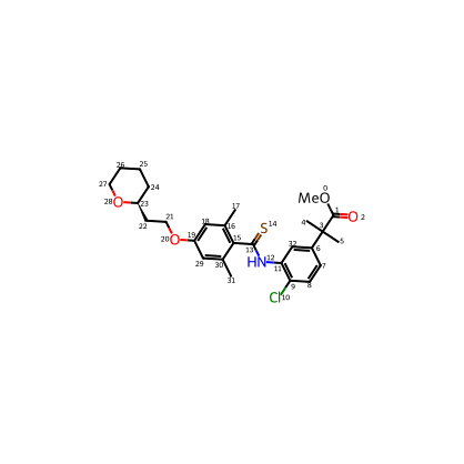 COC(=O)C(C)(C)c1ccc(Cl)c(NC(=S)c2c(C)cc(OCC[C@@H]3CCCCO3)cc2C)c1